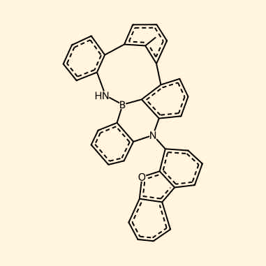 Cc1c2cccc1-c1cccc3c1B(Nc1ccccc1-2)c1ccccc1N3c1cccc2c1oc1ccccc12